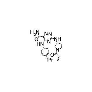 C=CC(=O)N1CC[C@H](Nc2nnc(C(N)=O)c(Nc3ccc(C(C)C)cc3)n2)C1